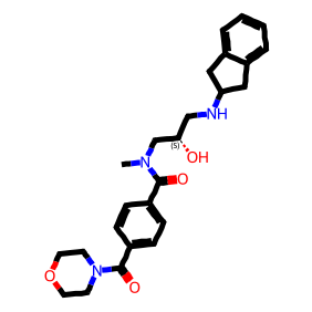 CN(C[C@@H](O)CNC1Cc2ccccc2C1)C(=O)c1ccc(C(=O)N2CCOCC2)cc1